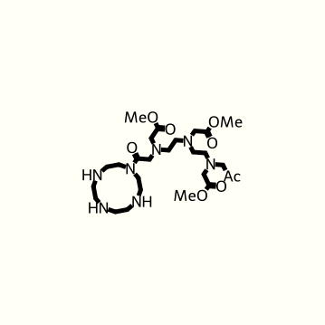 COC(=O)CN(CCN(CC(C)=O)CC(=O)OC)CCN(CC(=O)OC)CC(=O)N1CCNCCNCCNCC1